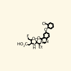 CC[C@@H](C(=O)NC(CC(=O)O)C(=O)CF)n1cnc2ccc(Oc3ccccc3Cl)cc2c1=O